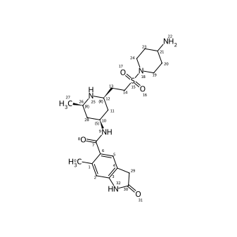 Cc1cc2c(cc1C(=O)N[C@@H]1C[C@H](CCS(=O)(=O)N3CCC(N)CC3)N[C@H](C)C1)CC(=O)N2